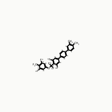 Cc1ccc(-c2ccc(-c3cc(F)c(C(F)(F)Oc4cc(F)c(C(F)(F)F)c(F)c4)c(F)c3)cc2)cc1C